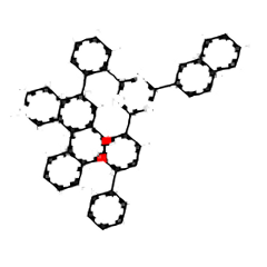 c1ccc(-c2ccc(-c3nc(-c4ccc5ccccc5c4)nc(-c4ccccc4-c4cc5ccc6ccccc6c5c5cnccc45)n3)cc2)cc1